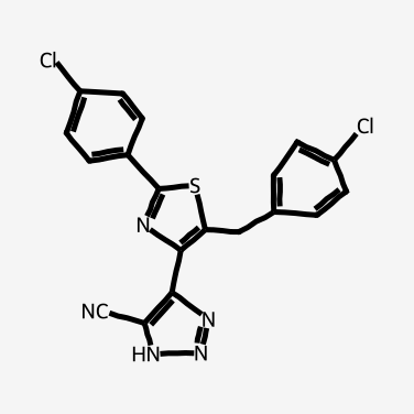 N#Cc1[nH]nnc1-c1nc(-c2ccc(Cl)cc2)sc1Cc1ccc(Cl)cc1